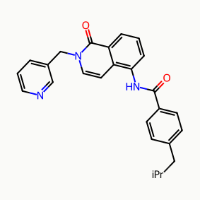 CC(C)Cc1ccc(C(=O)Nc2cccc3c(=O)n(Cc4cccnc4)ccc23)cc1